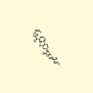 NC(=S)NC[C@H]1CN(c2ccc(-c3cccc(C(=O)c4ccc([N+](=O)[O-])o4)n3)c(F)c2)C(=O)O1